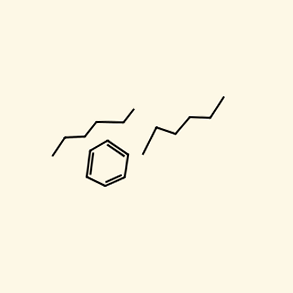 CCCCCC.CCCCCC.c1ccccc1